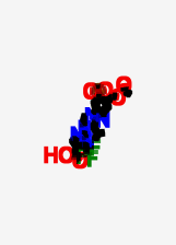 CC(=O)OCc1cc2nc3n(c2cc1S(C)(=O)=O)CCN(c1ncc(C(=O)O)c(C(F)(F)F)n1)C3C(C)C